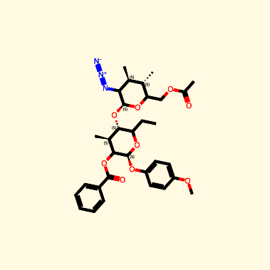 CCC1O[C@@H](Oc2ccc(OC)cc2)C(OC(=O)c2ccccc2)[C@@H](C)[C@@H]1O[C@@H]1OC(COC(C)=O)[C@@H](C)[C@H](C)C1N=[N+]=[N-]